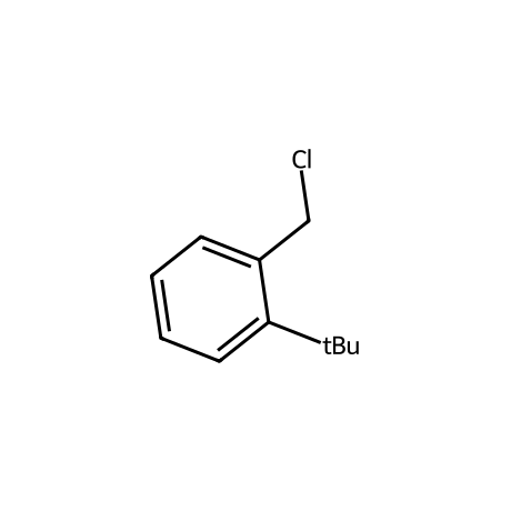 CC(C)(C)c1ccccc1CCl